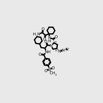 CS(=O)(=O)c1ccc(C(=O)NC(CC2CCCCC2)C(=O)N2C[C@@H](N=[N+]=[N-])C[C@H]2C(=O)NC2(C(=O)C(N)=O)CCCCC2)cc1